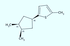 Cc1ccc([C@H]2C[C@@H](C)[C@@H](C)C2)s1